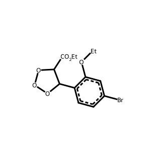 CCOC(=O)C1OOOC1c1ccc(Br)cc1OCC